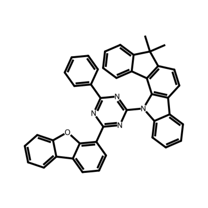 CC1(C)c2ccccc2-c2c1ccc1c3ccccc3n(-c3nc(-c4ccccc4)nc(-c4cccc5c4oc4ccccc45)n3)c21